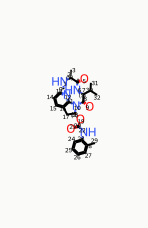 CN[C@@H](C)C(=O)N[C@H](C(=O)N1c2ncccc2C[C@@H]1OC(=O)Nc1ccccc1C)C(C)C